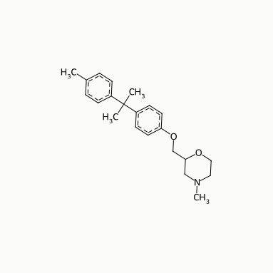 Cc1ccc(C(C)(C)c2ccc(OCC3CN(C)CCO3)cc2)cc1